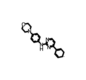 [CH]1C=CC(c2ccnc(Nc3ccc(N4CCOCC4)cc3)n2)=CC1